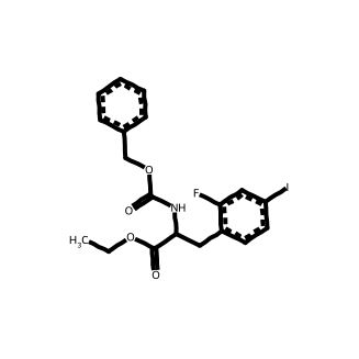 CCOC(=O)C(Cc1ccc(I)cc1F)NC(=O)OCc1ccccc1